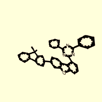 CC1(C)c2ccccc2-c2ccc(-c3ccc4c(c3)oc3cccc(-c5nc(-c6ccccc6)nc(-c6ccccc6)n5)c34)cc21